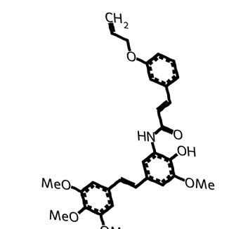 C=CCOc1cccc(/C=C/C(=O)Nc2cc(C=Cc3cc(OC)c(OC)c(OC)c3)cc(OC)c2O)c1